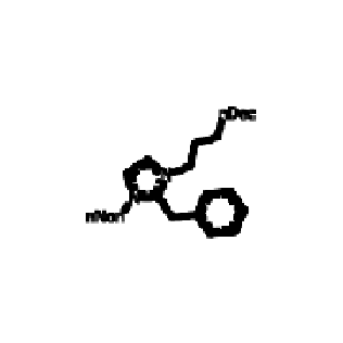 CCCCCCCCCCCCCn1cc[n+](CCCCCCCCC)c1Cc1ccccc1